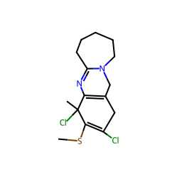 CSC1=C(Cl)CC2=C(N=C3CCCCCN3C2)C1(C)Cl